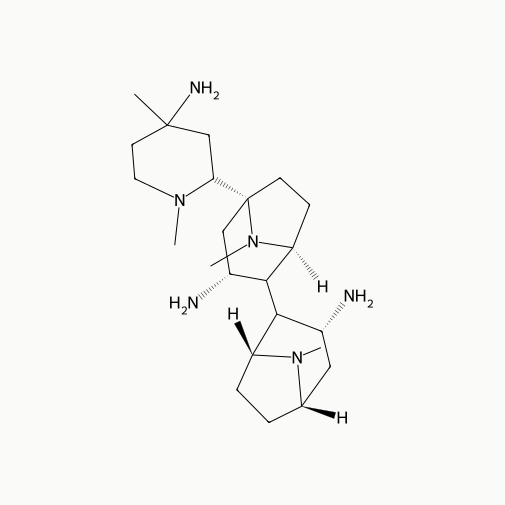 CN1CCC(C)(N)CC1[C@@]12CC[C@@H](C(C3[C@H](N)C[C@@H]4CC[C@H]3N4C)[C@H](N)C1)N2C